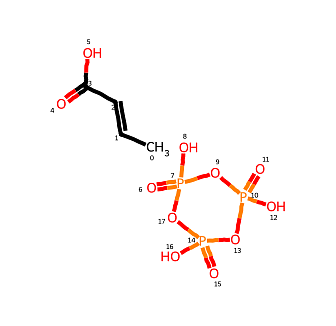 C/C=C/C(=O)O.O=P1(O)OP(=O)(O)OP(=O)(O)O1